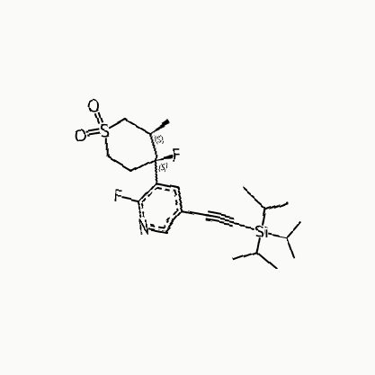 CC(C)[Si](C#Cc1cnc(F)c([C@]2(F)CCS(=O)(=O)C[C@H]2C)c1)(C(C)C)C(C)C